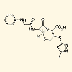 Cc1nnc(SC2=C(C(=O)O)N3C(=O)C(NC(=O)CNc4ccccc4)[C@@H]3SC2)s1